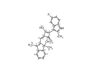 Cc1[nH]c2ccc(F)cc2c1C1=C(O)/C(=C/C2=[N+](C)c3ccccc3C2(C)C)C1=O